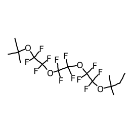 CCC(C)(C)OC(F)(F)C(F)(F)OC(F)(F)C(F)(F)OC(F)(F)C(F)(F)OC(C)(C)C